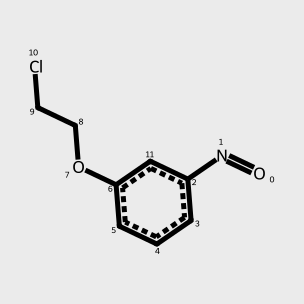 O=Nc1cccc(OCCCl)c1